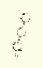 Cc1cccc(C2=CCN(c3ccc(O)nn3)CC2)c1